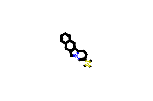 CS(C)(C)C1=CN2CC3=C(CC4C=CC=CC4C3)C2CC1